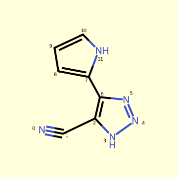 N#Cc1[nH]nnc1-c1ccc[nH]1